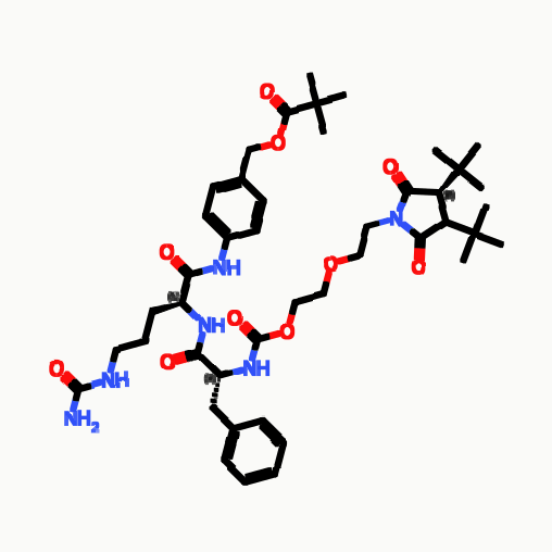 CC(C)(C)C(=O)OCc1ccc(NC(=O)[C@H](CCCNC(N)=O)NC(=O)[C@@H](Cc2ccccc2)NC(=O)OCCOCCN2C(=O)C(C(C)(C)C)[C@H](C(C)(C)C)C2=O)cc1